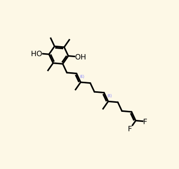 C/C(=C\CC/C(C)=C/Cc1c(C)c(O)c(C)c(C)c1O)CCC=C(F)F